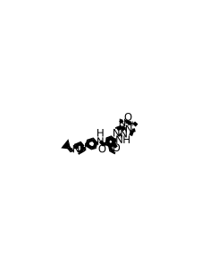 CC[C@H]1C(=O)N(C)c2cnc(Nc3ccc(C(=O)N[C@H]4CC[C@@H](N5CCN(CC6CC6)CC5)CC4)c4c3OCC4)nc2N1C(C)C